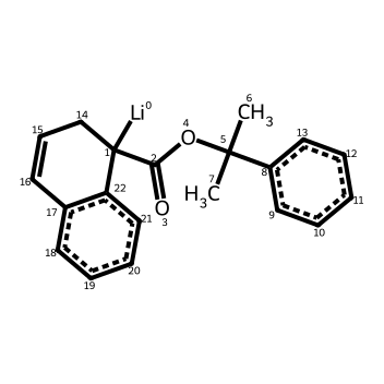 [Li][C]1(C(=O)OC(C)(C)c2ccccc2)CC=Cc2ccccc21